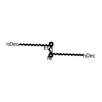 CCCCCCCCCCCCCCCCCCCCCCCCC=CCCCc1ccccc1N=CC(CC)=Nc1ccccc1CCCC=CCCCCCCCCCCCCCCCCCCCCCCCC.[Ni]